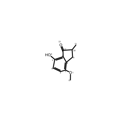 COc1ccc(O)c2c1CC(C)C2=O